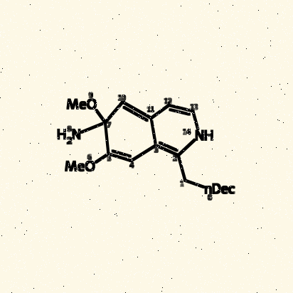 CCCCCCCCCCCC1=C2C=C(OC)C(N)(OC)C=C2C=CN1